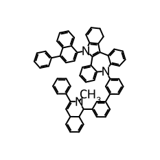 CN1C(c2ccccc2)=CC2C=CC=CC2C1c1cccc(-c2cccc(N3c4ccccc4-c4c5c(n(-c6ccc(-c7ccccc7)c7ccccc67)c4-c4ccccc43)C=CCC5)c2)c1